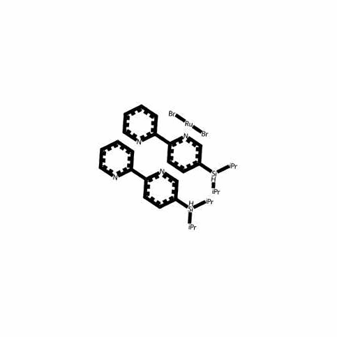 CC(C)[SiH](c1ccc(-c2ccccn2)nc1)C(C)C.CC(C)[SiH](c1ccc(-c2ccccn2)nc1)C(C)C.[Br][Ru][Br]